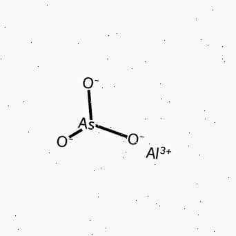 [Al+3].[O-][As]([O-])[O-]